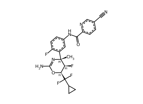 C[C@]1(c2cc(NC(=O)c3ccc(C#N)cn3)ccc2F)N=C(N)O[C@H](C(F)(F)C2CC2)[C@@H]1F